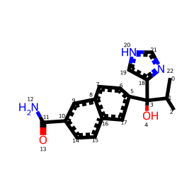 CC(C)C(O)(c1ccc2cc(C(N)=O)ccc2c1)c1c[nH]cn1